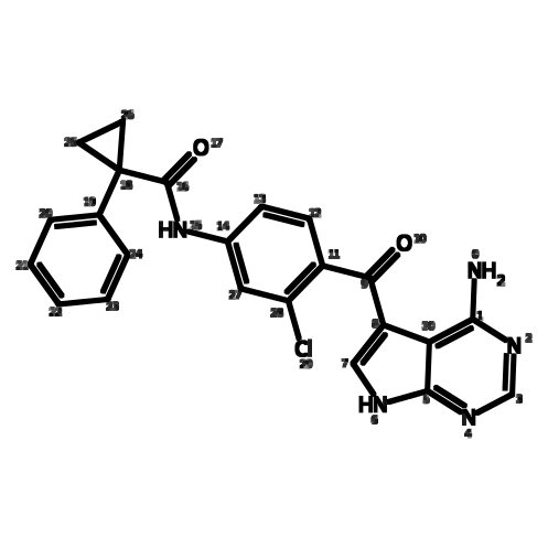 Nc1ncnc2[nH]cc(C(=O)c3ccc(NC(=O)C4(c5ccccc5)CC4)cc3Cl)c12